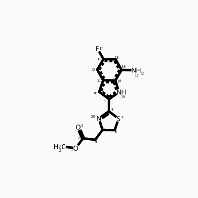 COC(=O)CC1CSC(c2cc3cc(F)cc(N)c3[nH]2)=N1